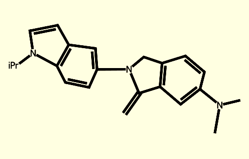 C=C1c2cc(N(C)C)ccc2CN1c1ccc2c(ccn2C(C)C)c1